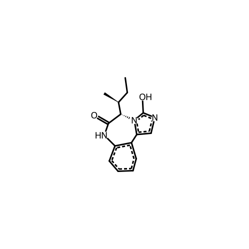 CC[C@H](C)[C@H]1C(=O)Nc2ccccc2-c2cnc(O)n21